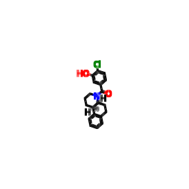 O=C(c1ccc(Cl)c(O)c1)N1CCC[C@@H]2c3ccccc3CC[C@@H]21